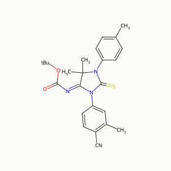 Cc1ccc(N2C(=S)N(c3ccc(C#N)c(C)c3)C(=NC(=O)OC(C)(C)C)C2(C)C)cc1